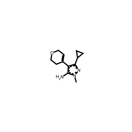 Cn1nc(C2CC2)c(C2=CCOCC2)c1N